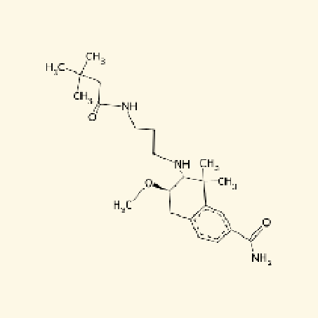 CO[C@@H]1Cc2ccc(C(N)=O)cc2C(C)(C)[C@H]1NCCCNC(=O)CC(C)(C)C